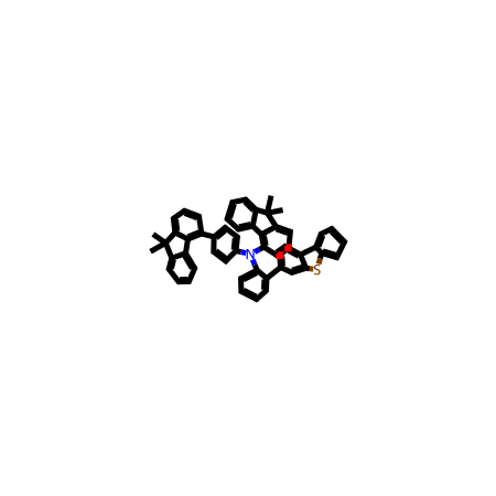 CC1(C)c2ccccc2-c2c(-c3ccc(N(c4ccccc4-c4ccc5c(c4)sc4ccccc45)c4cccc5c4-c4ccccc4C5(C)C)cc3)cccc21